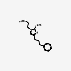 CCCCCCCCCCCCn1cc(CCCc2ccccc2)nc1CCCCCCCCCC